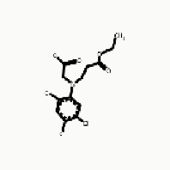 CCOC(=O)CCN(CC(=O)O)c1cc(Cl)c(Cl)cc1Cl